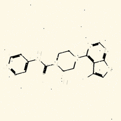 Cc1c[nH]c2ncnc(N3CCN(C(=O)Nc4ccncc4)[C@@H](C)C3)c12